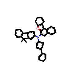 CC1(C)c2ccccc2-c2ccc(N(c3ccc(C4=CCCC=C4)cc3)c3cc4ccccc4c4c5c(oc34)CCC=C5)cc21